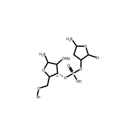 BC1CC(OP(=O)(O)O[C@@H]2C(COC(C)C)OC(B)C2OC)C(CC)O1